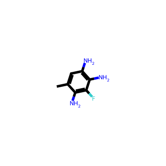 Cc1cc(N)c(N)c(F)c1N